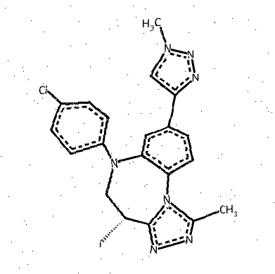 Cc1nnc2n1-c1ccc(-c3cn(C)nn3)cc1N(c1ccc(Cl)cc1)C[C@H]2I